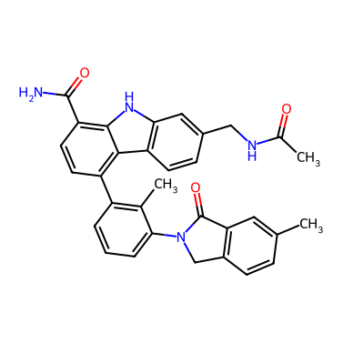 CC(=O)NCc1ccc2c(c1)[nH]c1c(C(N)=O)ccc(-c3cccc(N4Cc5ccc(C)cc5C4=O)c3C)c12